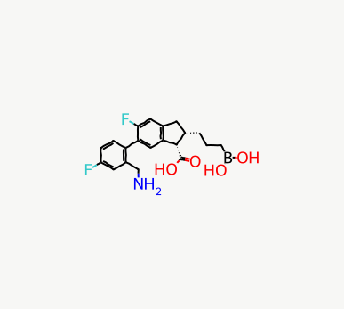 NCc1cc(F)ccc1-c1cc2c(cc1F)C[C@H](CCCB(O)O)[C@@H]2C(=O)O